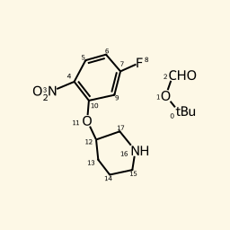 CC(C)(C)OC=O.O=[N+]([O-])c1ccc(F)cc1OC1CCCNC1